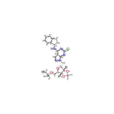 CC1(C)O[C@@H]2[C@H](O1)[C@@H](CO[Si](C)(C)C(C)(C)C)O[C@@H]2Cn1ncc2c(N[C@@H]3CCc4ccccc43)nc(Cl)nc21